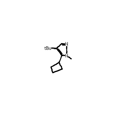 Cn1ncc(C(C)(C)C)c1C1CCC1